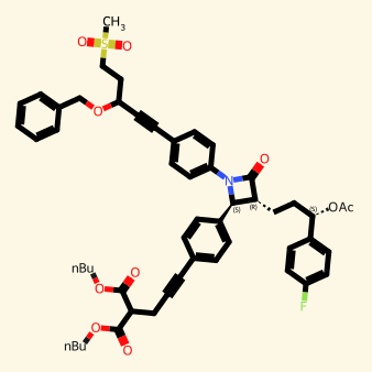 CCCCOC(=O)C(CC#Cc1ccc([C@@H]2[C@@H](CC[C@H](OC(C)=O)c3ccc(F)cc3)C(=O)N2c2ccc(C#CC(CCS(C)(=O)=O)OCc3ccccc3)cc2)cc1)C(=O)OCCCC